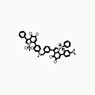 CN(C)c1ccc(C2=CC(=O)C(=O)C3C(c4cccc(CN(C)c5ccc(C6=CC(=O)C(=O)C7C(c8ccccc8)=CN(S(C)(=O)=O)C67)cc5)c4)=CN(S(=O)(=O)c4ccccc4)C23)cc1